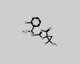 C[C@H](NC1=NC(=O)[C@@]2(CC2(C)F)S1)c1ccccc1F